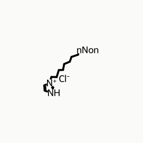 CCCCCCCCCCCCCCCCC[n+]1cc[nH]c1.[Cl-]